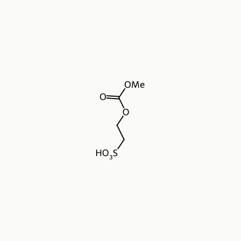 COC(=O)OCCS(=O)(=O)O